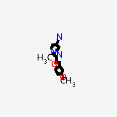 COc1ccc2oc(-c3nc4cc(C#N)ccn4c3C)cc2c1